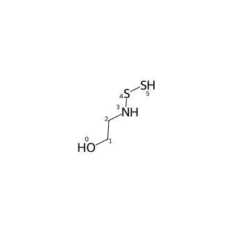 OCCNSS